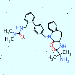 CN(C)C(=O)NCc1ccccc1-c1ccc(CN2C(=O)[C@H](NC(=O)C(C)(C)N)CCc3ccccc32)cc1